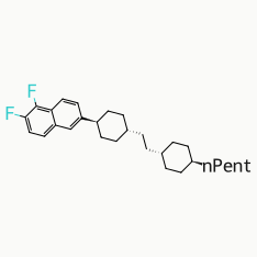 CCCCC[C@H]1CC[C@H](CC[C@H]2CC[C@H](c3ccc4c(F)c(F)ccc4c3)CC2)CC1